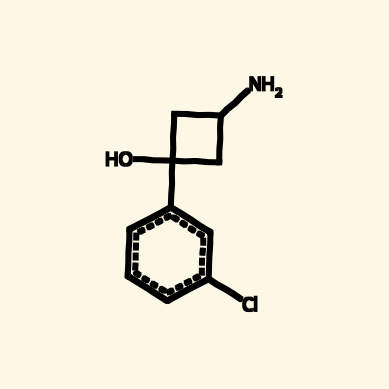 NC1CC(O)(c2cccc(Cl)c2)C1